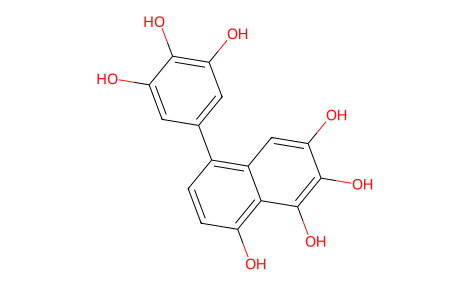 Oc1cc(-c2ccc(O)c3c(O)c(O)c(O)cc23)cc(O)c1O